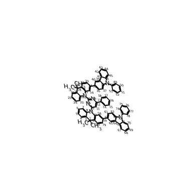 CC1(C)c2ccccc2N(c2cc(-c3ccccc3)nc(N3c4ccccc4C(C)(C)c4ccc(-c5ccc6c(c5)c5ccccc5n6-c5ccccc5)cc43)n2)c2cc(-c3ccc4c(c3)c3ccccc3n4-c3ccccc3)ccc21